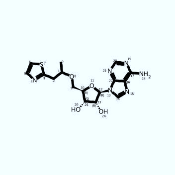 CC(Cc1nccs1)OC[C@H]1O[C@@H](n2cnc3c(N)ncnc32)[C@H](O)[C@@H]1O